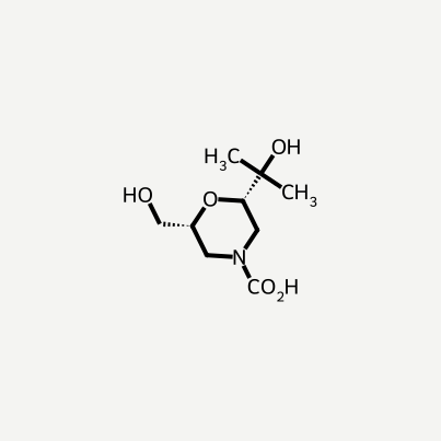 CC(C)(O)[C@@H]1CN(C(=O)O)C[C@H](CO)O1